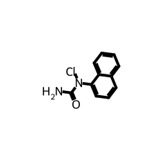 NC(=O)N(Cl)c1cccc2ccccc12